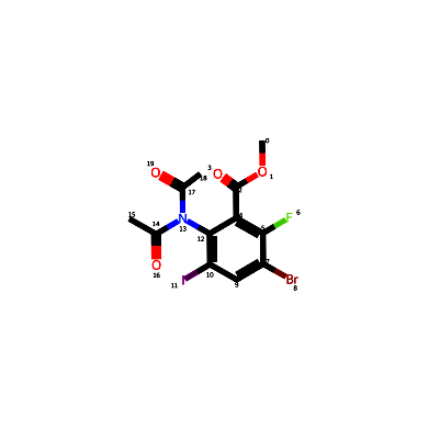 COC(=O)c1c(F)c(Br)cc(I)c1N(C(C)=O)C(C)=O